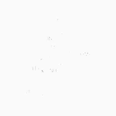 COc1ccc(C(N[C@H](C)c2cccc(F)c2)c2c(ONc3ccccc3)c(=O)c2=O)cc1